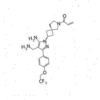 C=CC(=O)N1CC[C@]2(C1)C[C@H](n1nc(-c3ccc(OCC(F)(F)F)cc3)c(CN)c1N)C2